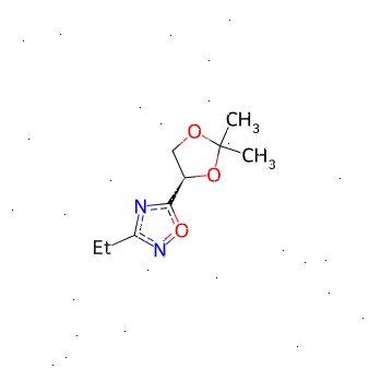 CCc1noc([C@H]2COC(C)(C)O2)n1